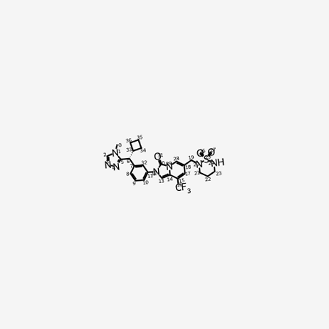 Cn1cnnc1[C@@H](c1cccc(-n2cc3c(C(F)(F)F)cc(CN4CCCNS4(=O)=O)cn3c2=O)c1)C1CCC1